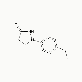 CCc1ccc(N2CCC(=O)N2)cc1